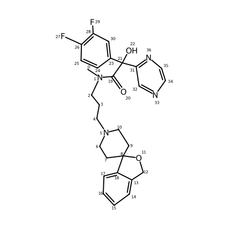 CN(CCCN1CCC2(CC1)OCc1ccccc12)C(=O)C(O)(c1ccc(F)c(F)c1)c1cnccn1